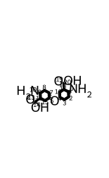 Nc1ccc(Oc2ccc(N)c(C(=O)O)c2)cc1C(=O)O